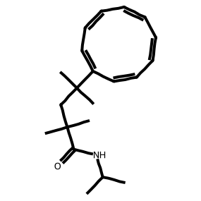 CC(C)NC(=O)C(C)(C)CC(C)(C)c1ccccccccc1